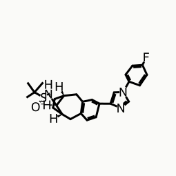 CC(C)(C)[S+]([O-])N[C@H]1[C@@H]2CC[C@H]1Cc1ccc(-c3cn(-c4ccc(F)cc4)cn3)cc1C2